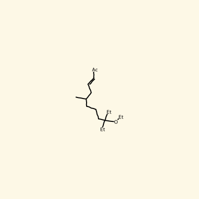 CCOC(CC)(CC)CCCC(C)CC=CC(C)=O